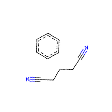 N#CCCCC#N.c1ccccc1